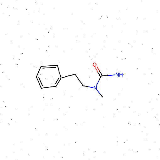 CN(CCc1ccccc1)C([NH])=O